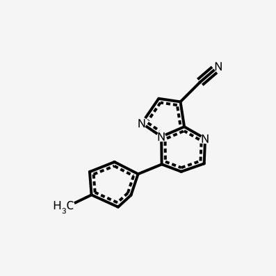 Cc1ccc(-c2ccnc3c(C#N)cnn23)cc1